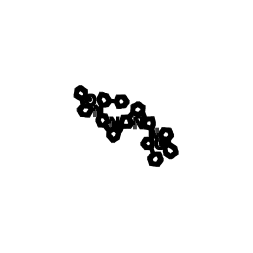 c1ccc(-c2cccc(N(c3ccc4c5cccc6c7cc8c(cc7n(c4c3)c56)c3cccc4c5ccc(N(c6cccc(-c7ccccc7)c6)c6cccc7c6oc6ccccc67)cc5n8c43)c3cccc4c3oc3ccccc34)c2)cc1